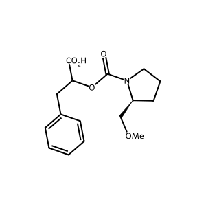 COC[C@@H]1CCCN1C(=O)OC(Cc1ccccc1)C(=O)O